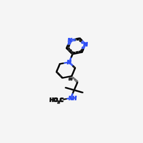 CC(C)(C[C@@H]1CCCN(c2cncnc2)C1)NC(=O)O